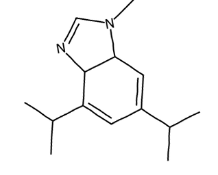 CC(C)C1=CC2C(N=CN2C)C(C(C)C)=C1